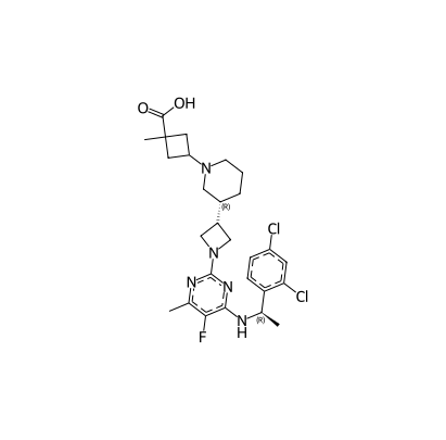 Cc1nc(N2CC([C@H]3CCCN(C4CC(C)(C(=O)O)C4)C3)C2)nc(N[C@H](C)c2ccc(Cl)cc2Cl)c1F